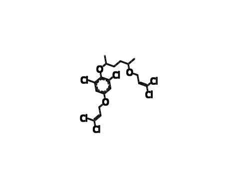 CC(CCC(C)Oc1c(Cl)cc(OCC=C(Cl)Cl)cc1Cl)OCC=C(Cl)Cl